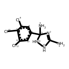 NC1=NC(N)(c2cc(Cl)c(Cl)c(Cl)c2)NN1